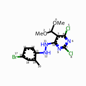 COC(OC)c1c(Cl)nc(Cl)nc1NNc1ccc(Br)cc1C